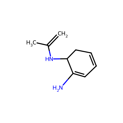 C=C(C)NC1CC=CC=C1N